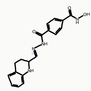 O=C(NO)c1ccc(C(=O)N/N=C/C2CCc3ccccc3N2)cc1